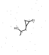 CCC1CC1CC(C)O